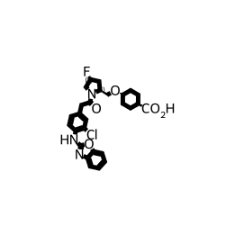 O=C(Cc1ccc(Nc2nc3ccccc3o2)c(Cl)c1)N1C[C@@H](F)C[C@H]1CO[C@H]1CC[C@H](C(=O)O)CC1